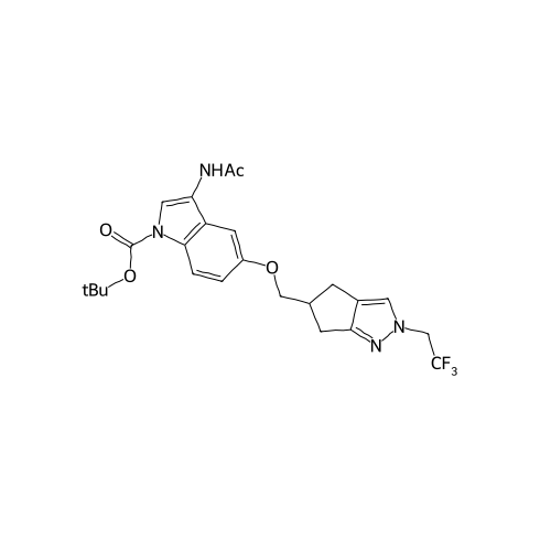 CC(=O)Nc1cn(C(=O)OC(C)(C)C)c2ccc(OCC3Cc4cn(CC(F)(F)F)nc4C3)cc12